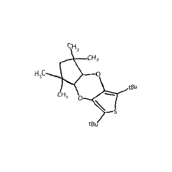 CC(C)(C)c1sc(C(C)(C)C)c2c1OC1C(O2)C(C)(C)CC1(C)C